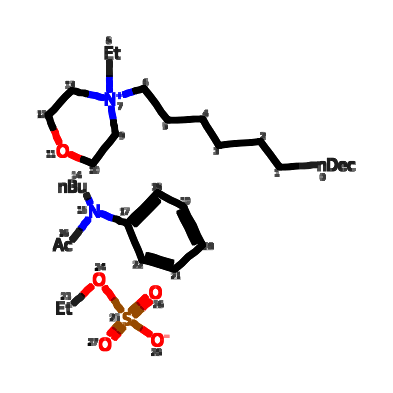 CCCCCCCCCCCCCCCC[N+]1(CC)CCOCC1.CCCCN(C(C)=O)c1ccccc1.CCOS(=O)(=O)[O-]